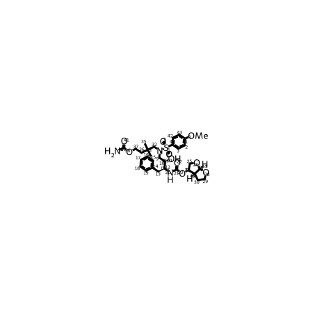 COc1ccc(S(=O)(=O)N(C[C@@H](O)[C@H](Cc2ccccc2)NC(=O)O[C@H]2CO[C@H]3OCC[C@H]32)CC(C)(C)CCOC(N)=O)cc1